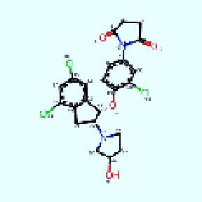 O=C1CCC(=O)N1c1ccc(O[C@H]2c3cc(Cl)cc(Cl)c3C[C@@H]2N2CCC(O)C2)c(Cl)c1